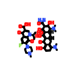 CN(C)c1ccc(O)c2c1C[C@H]1C[C@H]3[C@H](N(C)C)C(O)=C(C(N)=O)C(=O)[C@@]3(O)C(O)=C1C2=O.C[C@H]1COc2c(N3CCN(C)CC3)c(F)cc3c(=O)c(C(=O)O)cn1c23